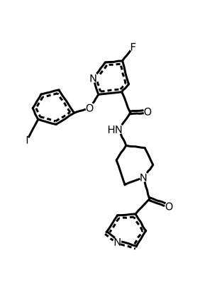 O=C(NC1CCN(C(=O)c2ccncc2)CC1)c1cc(F)cnc1Oc1cccc(I)c1